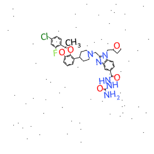 CC1(c2ccc(Cl)cc2F)Oc2cccc(C3CCN(Cc4nc5cc(C(=O)NNC(N)=O)ccc5n4CC4CCO4)CC3)c2O1